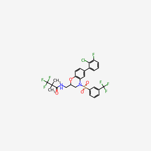 CC(C)(C(=O)NCC1CN(S(=O)(=O)c2cccc(C(F)(F)F)c2)c2cc(-c3cccc(F)c3Cl)ccc2O1)C(F)(F)F